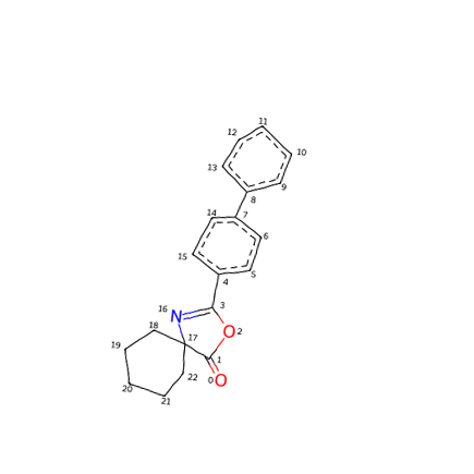 O=C1OC(c2ccc(-c3ccccc3)cc2)=NC12CCCCC2